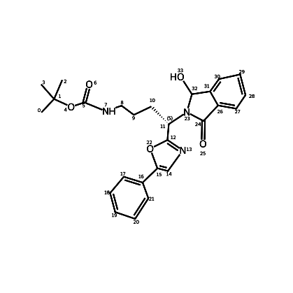 CC(C)(C)OC(=O)NCCC[C@@H](c1ncc(-c2ccccc2)o1)N1C(=O)c2ccccc2C1O